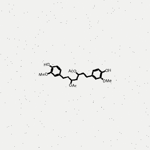 COc1cc(CCC(CC(CCc2ccc(O)c(OC)c2)OC(C)=O)OC(C)=O)ccc1O